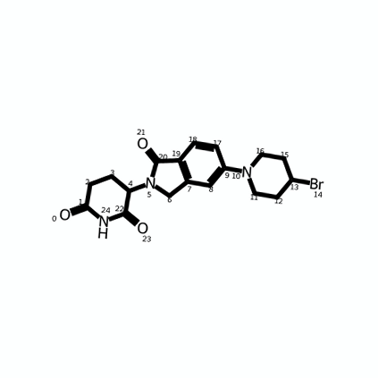 O=C1CCC(N2Cc3cc(N4CCC(Br)CC4)ccc3C2=O)C(=O)N1